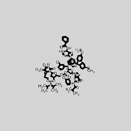 COc1ccc(C(OC[C@@H]2O[C@@H](n3cnc4c3N=CNC4NC(=O)c3ccccc3)C[C@H]2C(c2cc[c]c(Cl)c2)[C@H]2O[C@@H](n3cnc4c(=O)[nH]c(NC(=O)C(C)C)nc43)C[C@@H]2OP(=O)(OCC2OC(n3cc(C)c(=O)[nH]c3=O)CC2OP(OCCC#N)N(C(C)C)C(C)C)Oc2ccccc2Cl)(c2ccccc2)c2ccc(OC)cc2)cc1